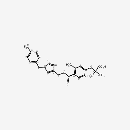 Cc1cc(OC(C)(C)C(=O)O)ccc1C(=O)OCc1cn(Cc2ccc(C(F)(F)F)cc2)nn1